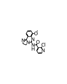 COc1cccc2c1N=C(NC(=O)c1cccnc1Cl)N1CCN=C21